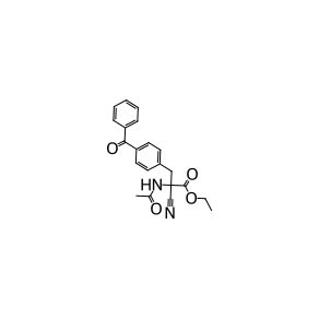 CCOC(=O)C(C#N)(Cc1ccc(C(=O)c2ccccc2)cc1)NC(C)=O